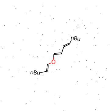 CCCCC=CC=COC=CCCCC